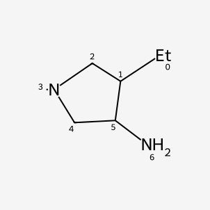 CCC1C[N]CC1N